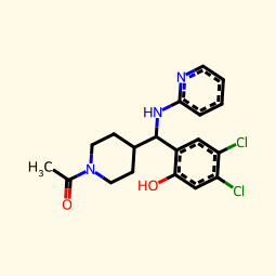 CC(=O)N1CCC(C(Nc2ccccn2)c2cc(Cl)c(Cl)cc2O)CC1